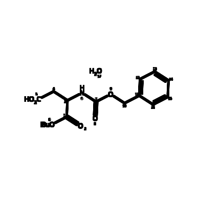 CC(C)COC(=O)C(CC(=O)O)NC(=O)OCc1ccccc1.O